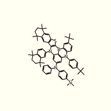 CC(C)(C)c1ccc(N2c3ccc(C(C)(C)C)cc3B3c4sc5cc6c(cc5c4N(c4ccc5c(c4)C(C)(C)CCC5(C)C)c4cc(N(c5ccccc5)c5ccc([Si](C)(C)C)cc5)cc2c43)C(C)(C)CCC6(C)C)cc1